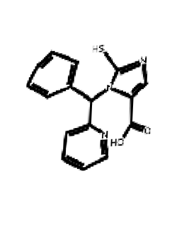 O=C(O)c1cnc(S)n1C(c1ccccc1)c1ccccn1